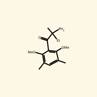 CCC(C)(P)C(=O)c1c(OC)c(C)cc(C)c1OC